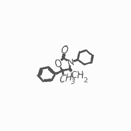 C=C1N(C2CCCCC2)C(=O)OC1(C)c1ccccc1